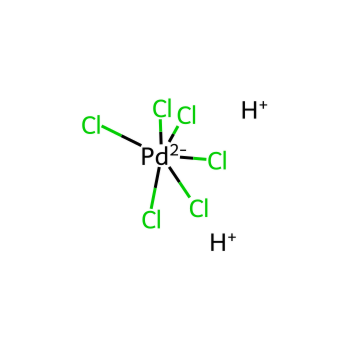 [Cl][Pd-2]([Cl])([Cl])([Cl])([Cl])[Cl].[H+].[H+]